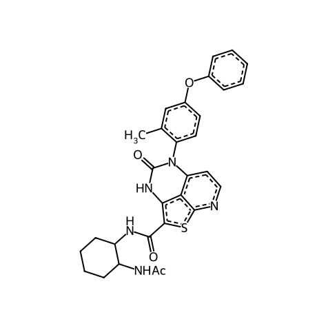 CC(=O)NC1CCCCC1NC(=O)c1sc2nccc3c2c1NC(=O)N3c1ccc(Oc2ccccc2)cc1C